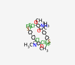 COc1cc2[nH]c(C)c(-c3ccc(-c4ccc(SC(F)(F)F)cc4)cc3)c(=O)c2cc1Cl.COc1cc2c(cc1Cl)C(Cl)(c1ccc(-c3ccc(SC(F)(F)F)cc3)cc1)CC(C)=N2